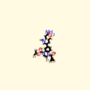 CCCC(CN(C)CCC(N)=O)c1ccc2c(c1)N(C(=O)OC(C)C)C[C@H](C)N2C(=O)C1CC1